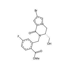 COC(=O)c1ccc(F)cc1CN1C(=O)c2cc(Br)cn2C[C@@H]1CO